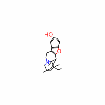 CCC1(C)CC2(C)CC3c4oc5ccc(O)cc5c4CCN(C2)C31C